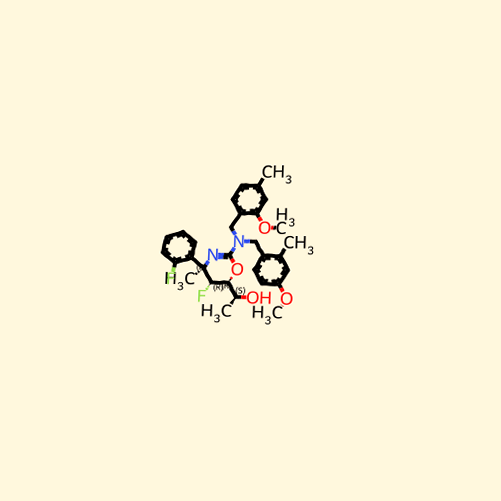 COc1ccc(CN(Cc2ccc(C)cc2OC)C2=N[C@](C)(c3ccccc3F)[C@@H](F)[C@@H]([C@H](C)O)O2)c(C)c1